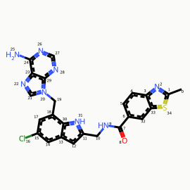 Cc1nc2ccc(C(=O)NCc3cc4cc(Cl)cc(Cn5cnc6c(N)ncnc65)c4[nH]3)cc2s1